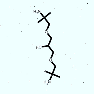 CC(C)(N)COCC(O)COCC(C)(C)N